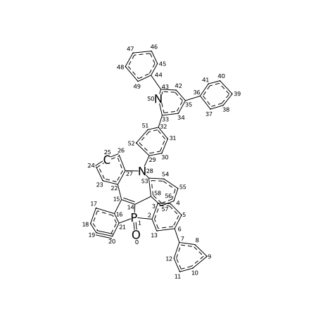 O=P1(c2cccc(-c3ccccc3)c2)C2=C(c3ccc#cc31)c1ccccc1N(c1ccc(-c3cc(-c4ccccc4)cc(-c4ccccc4)n3)cc1)c1ccccc12